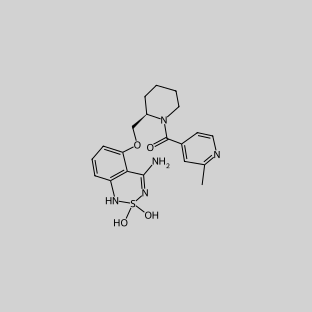 Cc1cc(C(=O)N2CCCC[C@@H]2COc2cccc3c2C(N)=NS(O)(O)N3)ccn1